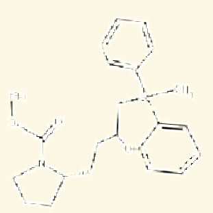 CC(C)(C)OC(=O)N1CCC[C@H]1CCC(O)C[Si](C)(c1ccccc1)c1ccccc1